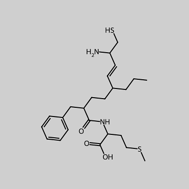 CCCC(C=CC(N)CS)CCC(Cc1ccccc1)C(=O)NC(CCSC)C(=O)O